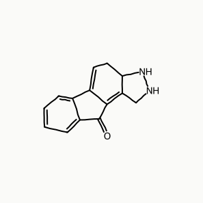 O=C1C2=C3CNNC3CC=C2c2ccccc21